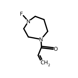 C=CC(=O)N1CCCN(F)CC1